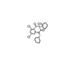 CC1(c2ccccc2)C(=O)c2c(Cl)cc(Cl)cc2N(Cc2ccccc2)C1=O